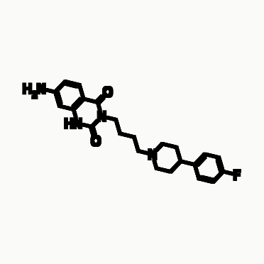 Nc1ccc2c(=O)n(CCCCN3CCC(c4ccc(F)cc4)CC3)c(=O)[nH]c2c1